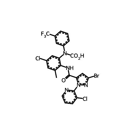 Cc1cc(Cl)cc(N(C(=O)O)c2cccc(C(F)(F)F)c2)c1NC(=O)c1cc(Br)nn1-c1ncccc1Cl